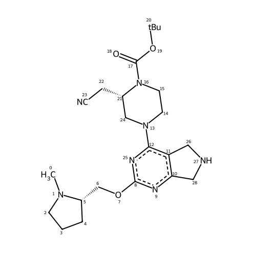 CN1CCC[C@H]1COc1nc2c(c(N3CCN(C(=O)OC(C)(C)C)[C@@H](CC#N)C3)n1)CNC2